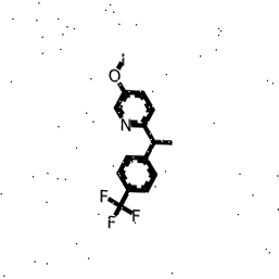 CC(c1ccc(C(F)(F)F)cc1)c1ccc(OI)cn1